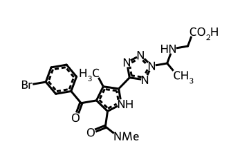 CNC(=O)c1[nH]c(-c2nnn(C(C)NCC(=O)O)n2)c(C)c1C(=O)c1cccc(Br)c1